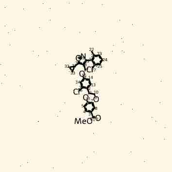 COC(=O)c1ccc2c(c1)OCC(c1ccc(OCc3c(-c4c(C)cccc4Cl)noc3C3CC3)cc1Cl)O2